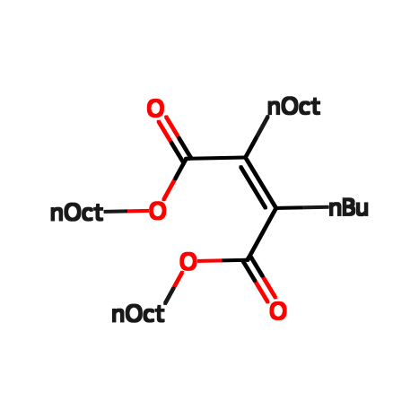 CCCCCCCCOC(=O)C(CCCC)=C(CCCCCCCC)C(=O)OCCCCCCCC